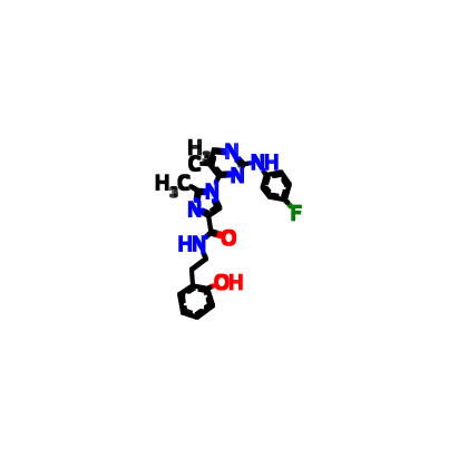 Cc1cnc(Nc2ccc(F)cc2)nc1-n1cc(C(=O)NCCc2ccccc2O)nc1C